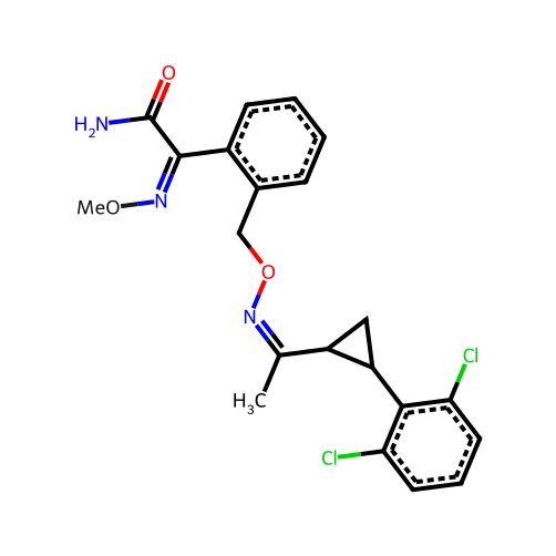 CON=C(C(N)=O)c1ccccc1CON=C(C)C1CC1c1c(Cl)cccc1Cl